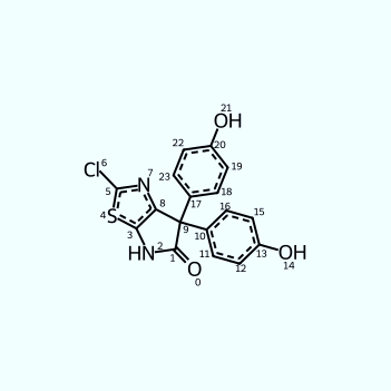 O=C1Nc2sc(Cl)nc2C1(c1ccc(O)cc1)c1ccc(O)cc1